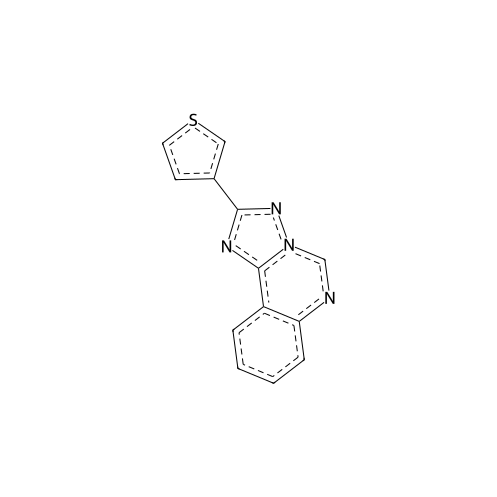 c1ccc2c(c1)ncn1nc(-c3ccsc3)nc21